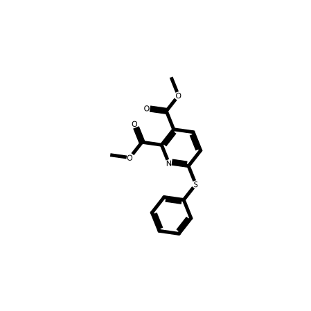 COC(=O)c1ccc(Sc2ccccc2)nc1C(=O)OC